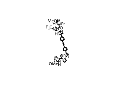 COC(=O)NC(C(=O)N1CN(CC(F)(F)F)C[C@H]1c1ncc(-c2ccc(C#Cc3ccc(-c4cnc([C@@H]5CCCN5C(=O)[C@@H](NC(=O)OC)C(C)C)[nH]4)cc3)cc2)[nH]1)C(C)C